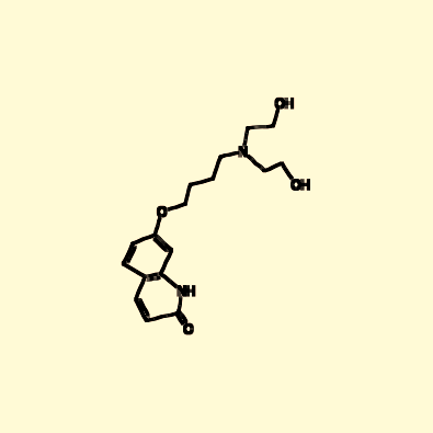 O=c1ccc2ccc(OCCCCN(CCO)CCO)cc2[nH]1